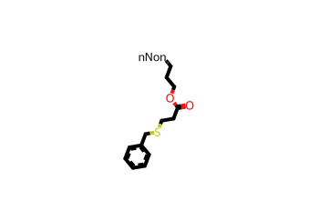 CCCCCCCCCCCCOC(=O)CCSCc1ccccc1